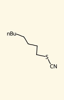 CCCCCCCCSC#N